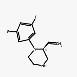 C=C[C@H]1CNCCN1c1cc(F)cc(F)c1